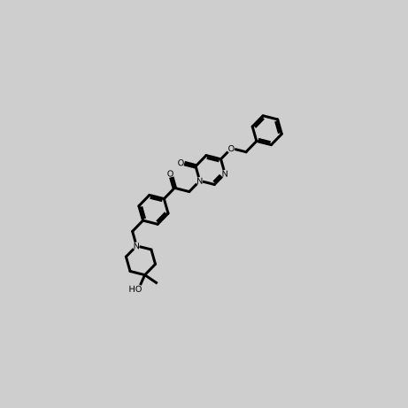 CC1(O)CCN(Cc2ccc(C(=O)Cn3cnc(OCc4ccccc4)cc3=O)cc2)CC1